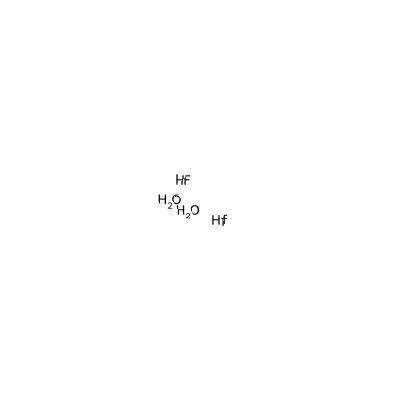 F.O.O.[Hf]